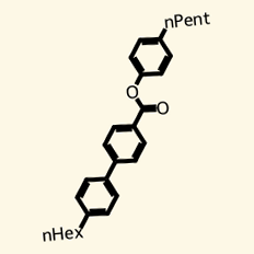 CCCCCCc1ccc(-c2ccc(C(=O)Oc3ccc(CCCCC)cc3)cc2)cc1